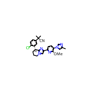 COc1nc(-c2cn3c(n2)[C@@H](c2cc(C(C)(C)C#N)ccc2Cl)CCC3)ccc1-n1cnc(C)c1